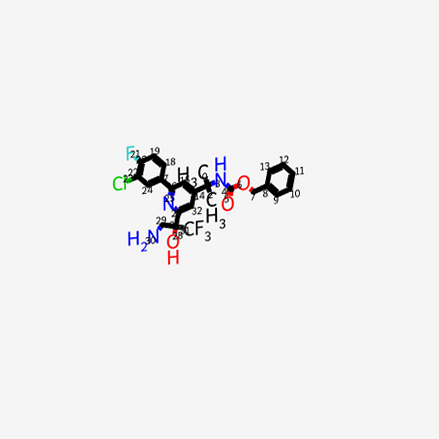 CC(C)(NC(=O)OCc1ccccc1)c1cc(-c2ccc(F)c(Cl)c2)nc(C(O)(CN)C(F)(F)F)c1